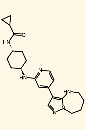 O=C(N[C@H]1CC[C@H](Nc2cc(-c3cnn4c3NCCCC4)ccn2)CC1)C1CC1